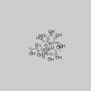 OC[C@H]1O[C@H](O[C@@]2(C(O)[C@H]3O[C@H](CO)[C@@H](O)[C@@H]3O)O[C@H](CO)[C@@H](O)[C@H](O)[C@H]2O)[C@H](O)[C@@H](O)[C@H]1O